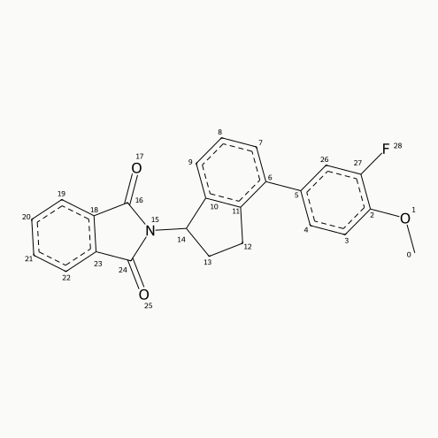 COc1ccc(-c2cccc3c2CCC3N2C(=O)c3ccccc3C2=O)cc1F